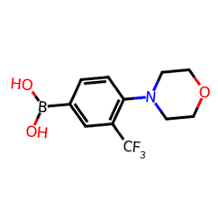 OB(O)c1ccc(N2CCOCC2)c(C(F)(F)F)c1